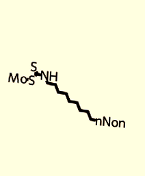 CCCCCCCCCCCCCCCCCCNC(=S)[S][Mo]